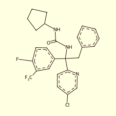 O=C(NC1CCCC1)NC(Cc1ccccc1)(c1ccc(F)c(C(F)(F)F)c1)c1ccc(Cl)cn1